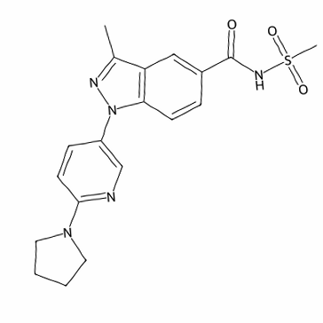 Cc1nn(-c2ccc(N3CCCC3)nc2)c2ccc(C(=O)NS(C)(=O)=O)cc12